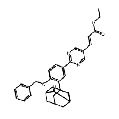 CCOC(=O)/C=C/c1cnc(-c2ccc(OCc3ccccc3)c(C34CC5CC(C3)C(=O)C(C5)C4)c2)nc1